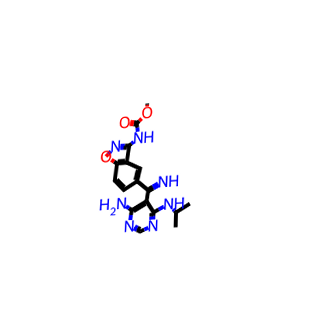 COC(=O)Nc1noc2ccc(C(=N)c3c(N)ncnc3NC(C)C)cc12